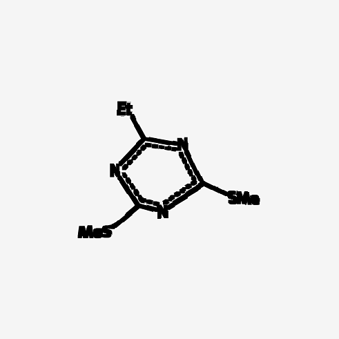 CCc1nc(SC)nc(SC)n1